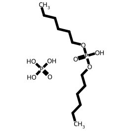 CCCCCCOP(=O)(O)OCCCCCC.O=P(O)(O)O